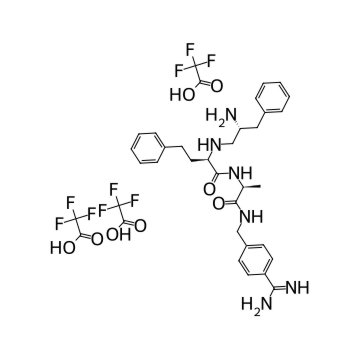 C[C@H](NC(=O)[C@@H](CCc1ccccc1)NC[C@H](N)Cc1ccccc1)C(=O)NCc1ccc(C(=N)N)cc1.O=C(O)C(F)(F)F.O=C(O)C(F)(F)F.O=C(O)C(F)(F)F